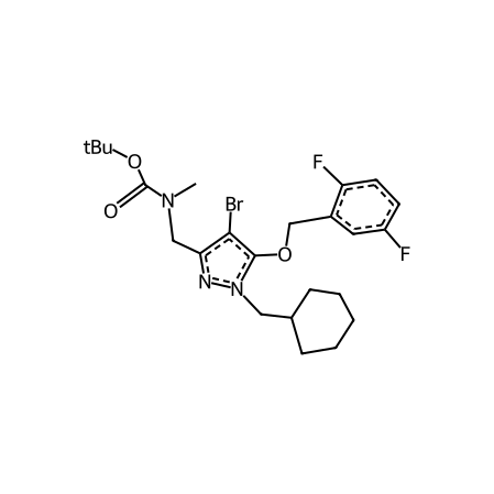 CN(Cc1nn(CC2CCCCC2)c(OCc2cc(F)ccc2F)c1Br)C(=O)OC(C)(C)C